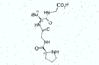 CC[C@H](C)[C@H](NC(=O)CNC(=O)[C@@H]1CCCN1)C(=O)NCC(=O)O